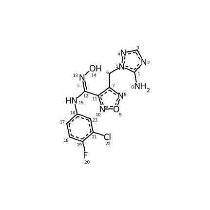 Nc1ncnn1Cc1nonc1/C(=N\O)Nc1ccc(F)c(Cl)c1